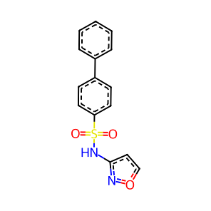 O=S(=O)(Nc1ccon1)c1ccc(-c2ccccc2)cc1